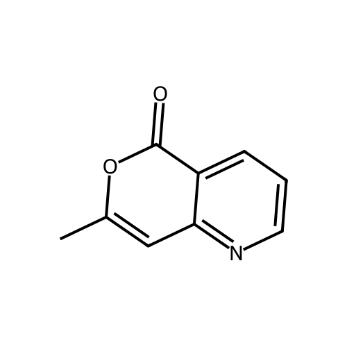 Cc1cc2ncccc2c(=O)o1